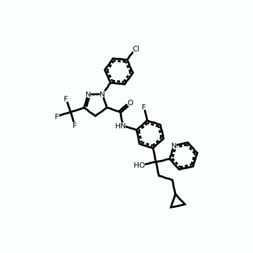 O=C(Nc1cc(C(O)(CCC2CC2)c2ccccn2)ccc1F)C1CC(C(F)(F)F)=NN1c1ccc(Cl)cc1